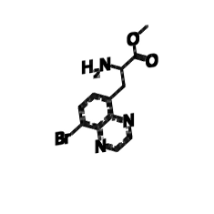 COC(=O)C(N)Cc1ccc(Br)c2nccnc12